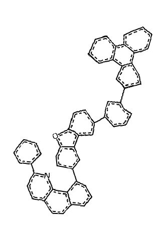 c1ccc(-c2ccc3ccc4cccc(-c5ccc6oc7ccc(-c8cccc(-c9ccc%10c%11ccccc%11c%11ccccc%11c%10c9)c8)cc7c6c5)c4c3n2)cc1